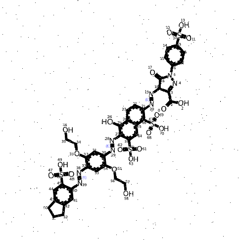 O=C(O)C1=NN(c2ccc(S(=O)(=O)O)cc2)C(=O)C1/N=N/c1ccc2c(O)c(/N=N/c3cc(OCCO)c(/N=N/c4cc5c(cc4S(=O)(=O)O)CCC5)cc3OCCO)c(S(=O)(=O)O)cc2c1S(=O)(=O)O